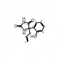 C=CCC1(c2ccccc2O)NC(=O)NC1=O